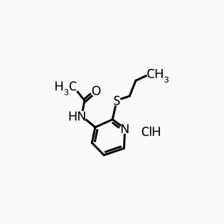 CCCSc1ncccc1NC(C)=O.Cl